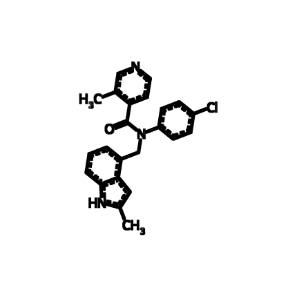 Cc1cc2c(CN(C(=O)c3ccncc3C)c3ccc(Cl)cc3)cccc2[nH]1